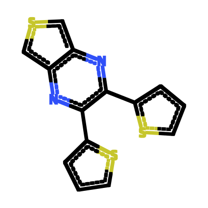 c1csc(-c2nc3cscc3nc2-c2cccs2)c1